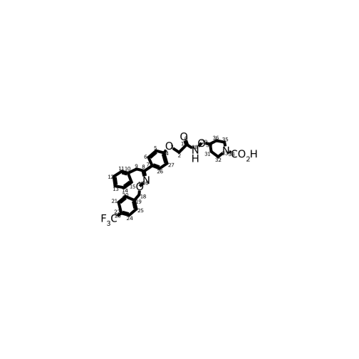 O=C(COc1ccc(C(Cc2ccccc2)=NOCc2ccc(C(F)(F)F)cc2)cc1)NOC1CCN(C(=O)O)CC1